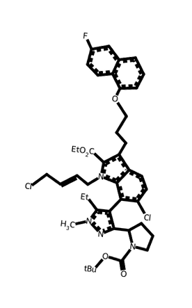 CCOC(=O)c1c(CCCOc2cccc3cc(F)ccc23)c2ccc(Cl)c(-c3c(C4CCCN4C(=O)OC(C)(C)C)nn(C)c3CC)c2n1CC=CCCl